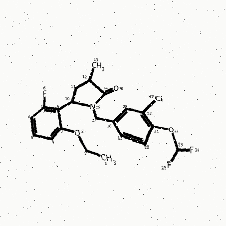 CCOc1cccc(F)c1C1CC(C)C(=O)N1Cc1ccc(OC(F)F)c(Cl)c1